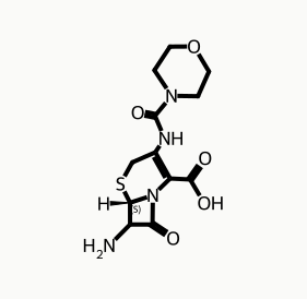 NC1C(=O)N2C(C(=O)O)=C(NC(=O)N3CCOCC3)CS[C@@H]12